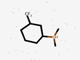 C[SH](C)C1CCCC(C(F)(F)F)C1